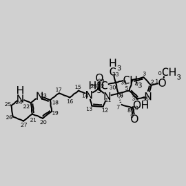 COc1ccc([C@@](CC(=O)O)(n2ccn(CCCc3ccc4c(n3)NCCC4)c2=O)C(C)(C)C)cn1